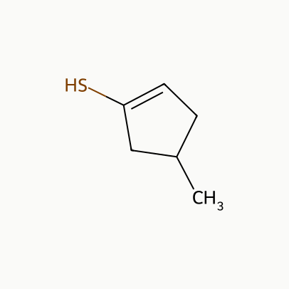 CC1CC=C(S)C1